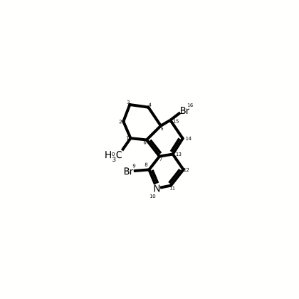 CC1CCCC2C1=c1c(Br)nccc1=CC2Br